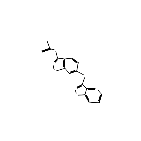 CC(C)(C)C(=O)Nc1noc2cc(Nc3n[nH]c4cccnc34)ccc12